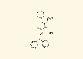 Cl.O=C(O)C[C@@H](CN1CCCCC1)NC(=O)OCC1c2ccccc2-c2ccccc21